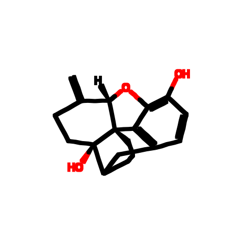 C=C1CC[C@@]2(O)C3CCC[C@@]24c2c(ccc(O)c2O[C@@H]14)C3